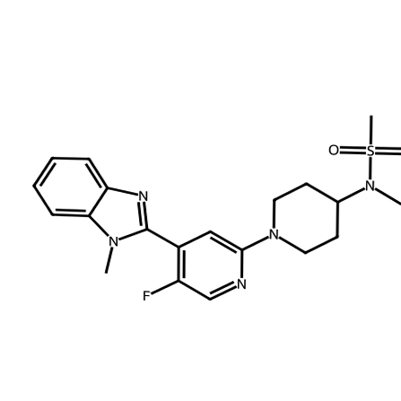 CN(C1CCN(c2cc(-c3nc4ccccc4n3C)c(F)cn2)CC1)S(C)(=O)=O